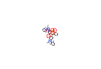 CCCN(c1ccc2c(c1)Oc1cc(N(CCC)c3c(C)cccc3C)ccc1C2c1ccccc1S(=O)(=O)O)c1c(C)cccc1C